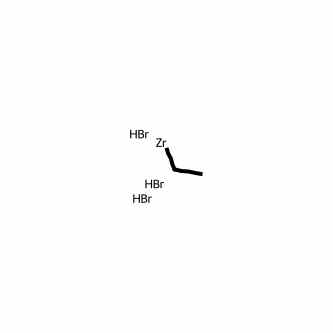 Br.Br.Br.C[CH2][Zr]